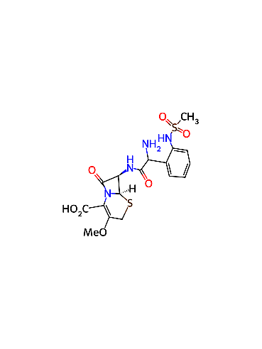 COC1=C(C(=O)O)N2C(=O)[C@@H](NC(=O)C(N)c3ccccc3NS(C)(=O)=O)[C@H]2SC1